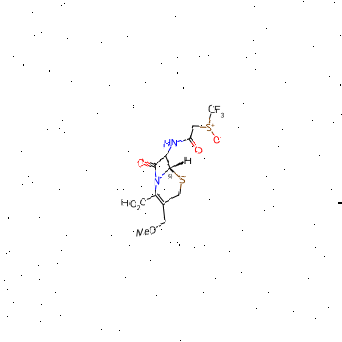 COCC1=C(C(=O)O)N2C(=O)C(NC(=O)C[S+]([O-])C(F)(F)F)[C@@H]2SC1